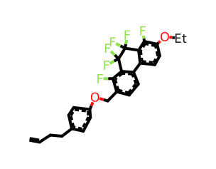 C=CCCc1ccc(OCc2ccc3c(c2F)C(F)(F)C(F)(F)c2c-3ccc(OCC)c2F)cc1